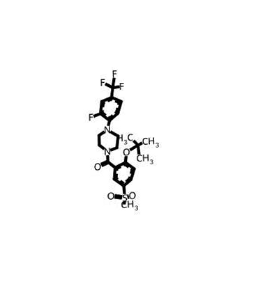 CC(C)(C)Oc1ccc(S(C)(=O)=O)cc1C(=O)N1CCN(c2ccc(C(F)(F)F)cc2F)CC1